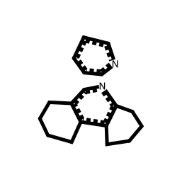 c1ccncc1.c1nc2c(c3c1CCCC3)CCCC2